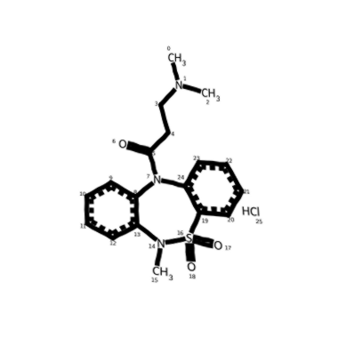 CN(C)CCC(=O)N1c2ccccc2N(C)S(=O)(=O)c2ccccc21.Cl